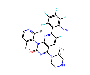 Cc1ccnc(C(C)C)c1-n1c(=O)nc(N2CCNC[C@@H]2C)c2cc(F)c(-c3c(N)c(F)c(F)c(F)c3F)nc21